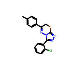 Cc1ccc(C2=Nn3c(nnc3-c3ccccc3Cl)SC2)cc1